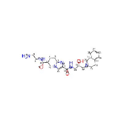 NCCNC(=O)C1CCc2nc(C(=O)NC[C@H](O)CN3CCc4ccccc4C3)cn2C1